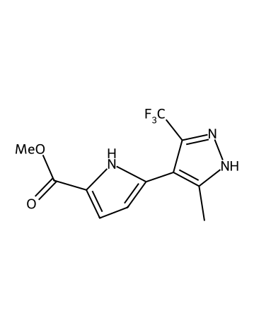 COC(=O)c1ccc(-c2c(C(F)(F)F)n[nH]c2C)[nH]1